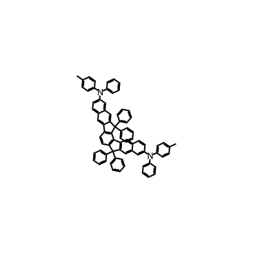 Cc1ccc(N(c2ccccc2)c2ccc3cc4c(cc3c2)C(c2ccccc2)(c2ccccc2)c2ccc3c(c2-4)C(c2ccccc2)(c2ccccc2)c2cc4cc(N(c5ccccc5)c5ccc(C)cc5)ccc4cc2-3)cc1